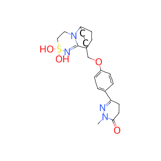 CN1N=C(c2ccc(OCC34CCC(CC3)N3CCS(O)(O)N=C34)cc2)CCC1=O